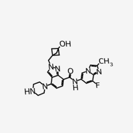 Cc1cn2cc(NC(=O)c3ccc(N4CCNCC4)c4cn(CC56CC(O)(C5)C6)nc34)cc(F)c2n1